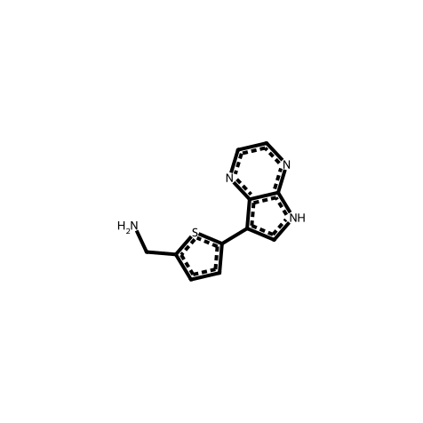 NCc1ccc(-c2c[nH]c3nccnc23)s1